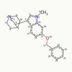 Cn1cc([C]2[CH]N3CCC2CC3)c2ccc(OCc3ccccc3)cc21